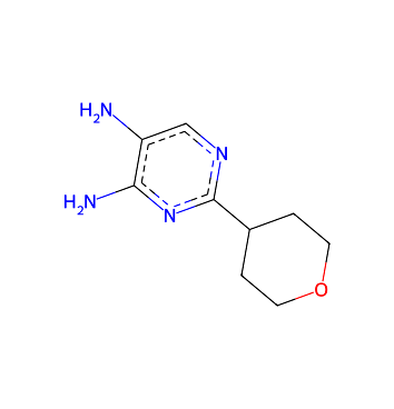 Nc1cnc(C2CCOCC2)nc1N